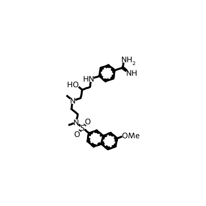 COc1ccc2ccc(S(=O)(=O)N(C)CCN(C)CC(O)CNc3ccc(C(=N)N)cc3)cc2c1